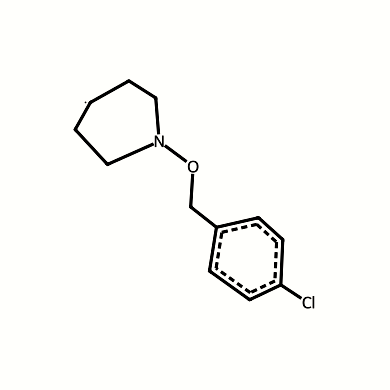 Clc1ccc(CON2CC[CH]CC2)cc1